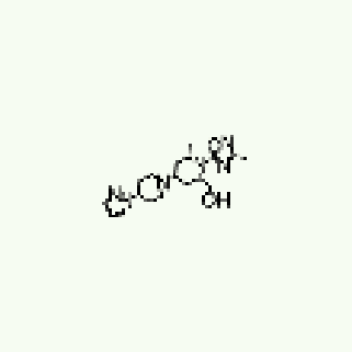 Cc1noc(N2C(C)CC(N3CCC(n4cccn4)CC3)CC2CO)n1